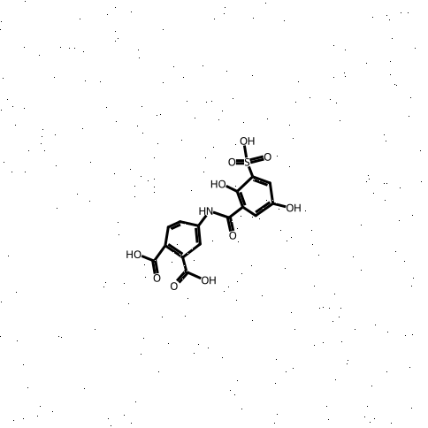 O=C(O)c1ccc(NC(=O)c2cc(O)cc(S(=O)(=O)O)c2O)cc1C(=O)O